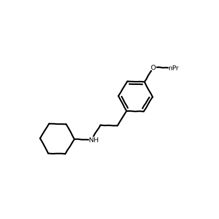 CCCOc1ccc(CCNC2CCCCC2)cc1